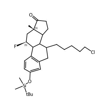 CC(C)(C)[Si](C)(C)Oc1ccc2c(c1)CC(CCCCCCl)C1C2[C@@H](F)C[C@]2(C)C(=O)CCC12